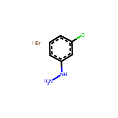 Br.NNc1cccc(Cl)c1